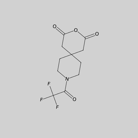 O=C1CC2(CCN(C(=O)C(F)(F)F)CC2)CC(=O)O1